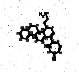 NCCC1CC=C(C2=CC=CC(=O)CN2)c2ccc3c(c21)CCc1ccccc1-3